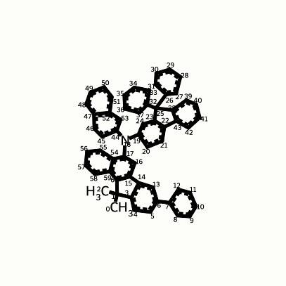 CC1(C)c2ccc(-c3ccccc3)cc2-c2cc(N(c3ccc4c(c3)C(c3ccccc3)(c3ccccc3)c3ccccc3-4)c3ccc4ccccc4c3)c3ccccc3c21